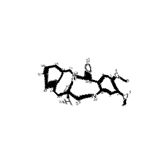 COc1cc2c(cc1OC)C(=O)N1Cc3ccccc3C[C@H]1C=N2